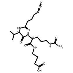 CC(C)[C@@H](NC(=O)CCCN=[N+]=[N-])C(=O)N[C@@H](CCCNC(N)=O)C(=O)NCCCC(=O)O